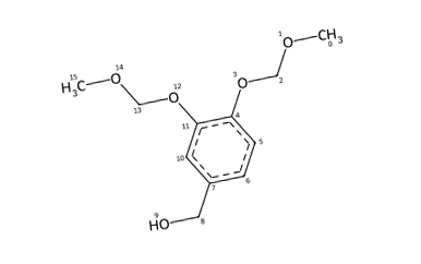 COCOc1ccc(CO)cc1OCOC